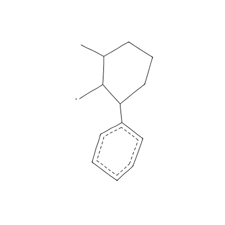 [CH2]C1C(C)CCCC1c1ccccc1